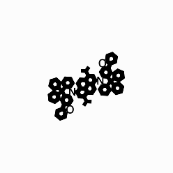 CC(C)c1cc(N2c3ccccc3C(c3ccccc3)(c3ccccc3)c3cc4c(cc32)oc2ccccc24)c2ccc3c(C(C)C)cc(N4c5ccccc5C(c5ccccc5)(c5ccccc5)c5cc6c(cc54)oc4ccccc46)c4ccc1c2c34